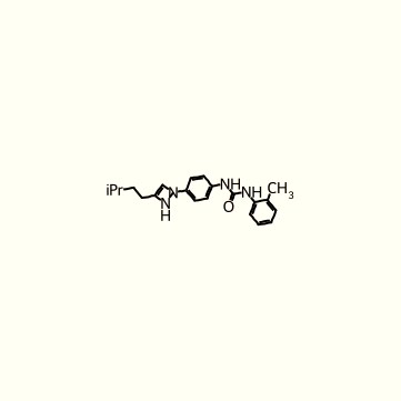 Cc1ccccc1NC(=O)Nc1ccc(-n2cc(CCC(C)C)[nH]2)cc1